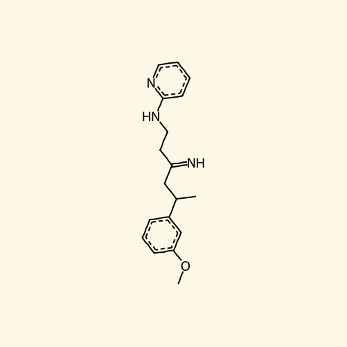 COc1cccc(C(C)CC(=N)CCNc2ccccn2)c1